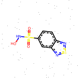 O=S(=O)(NO)c1ccc2nsnc2c1